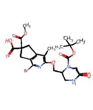 COC(=O)C1(C(=O)O)Cc2c(Br)nc(OCC3CNC(=O)CN3C(=O)OC(C)(C)C)c(C)c2C1